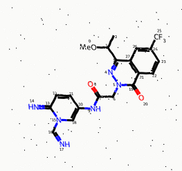 COC(C)c1nn(CC(=O)Nc2ccc(=N)n(C=N)c2)c(=O)c2ccc(C(F)(F)F)cc12